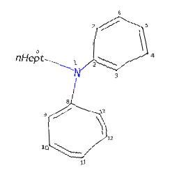 CCCCCCCN(c1ccccc1)c1ccccc1